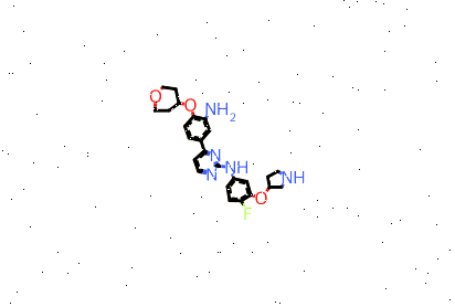 Nc1cc(-c2ccnc(Nc3ccc(F)c(OC4CCNC4)c3)n2)ccc1OC1CCOCC1